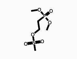 COP(=O)(CCOS(C)(=O)=O)OC